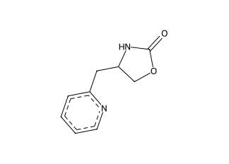 O=C1NC(Cc2ccccn2)CO1